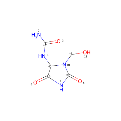 NC(=O)NC1C(=O)NC(=O)N1CO